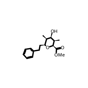 COC(=O)[C@H]1O[C@@H](CCc2ccccc2)[C@@H](C)[C@@H](O)[C@H]1C